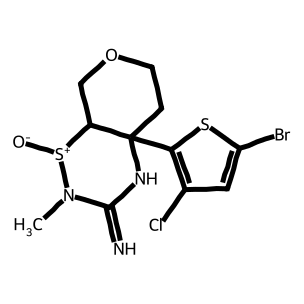 CN1C(=N)NC2(c3sc(Br)cc3Cl)CCOCC2[S+]1[O-]